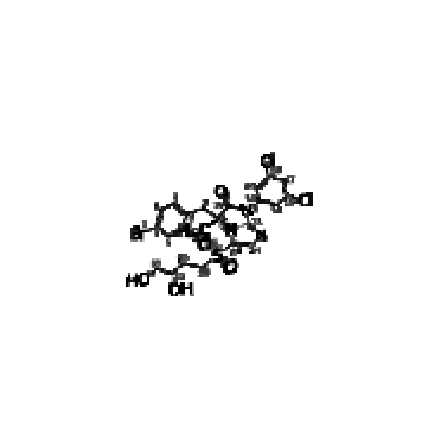 C[C@@]1(Cc2ccc(Br)cc2)C(=O)N(c2cc(Cl)cc(Cl)c2)c2ncc(S(=O)(=O)CC[C@H](O)CO)n21